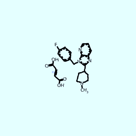 CN1CCC(c2nc3cccnc3n2Cc2ccc(F)cc2)CC1.O=C(O)/C=C/C(=O)O